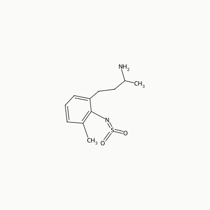 Cc1cccc(CCC(C)N)c1N=S(=O)=O